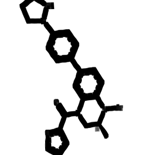 CC(=O)N1c2ccc(-c3ccc(N4CCCN4)cc3)cc2N(C(=O)c2ccco2)C[C@@H]1C